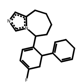 FC1=CC=C(C2CCCCc3cncn32)C(C2=CCCC=C2)C1